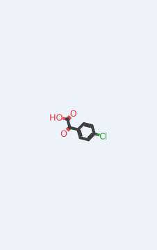 O=C(O)C(=O)c1ccc(Cl)cc1